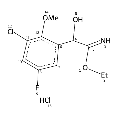 CCOC(=N)C(O)c1cc(F)cc(Cl)c1OC.Cl